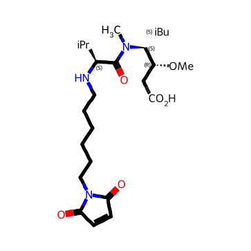 CC[C@H](C)[C@@H]([C@@H](CC(=O)O)OC)N(C)C(=O)[C@@H](NCCCCCCN1C(=O)C=CC1=O)C(C)C